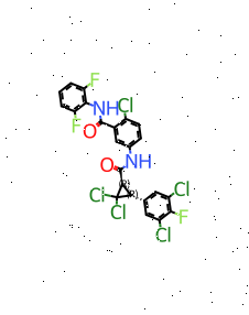 O=C(Nc1c(F)cccc1F)c1cc(NC(=O)[C@H]2[C@H](c3cc(Cl)c(F)c(Cl)c3)C2(Cl)Cl)ccc1Cl